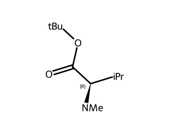 CN[C@@H](C(=O)OC(C)(C)C)C(C)C